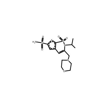 CC(C)N1C(CN2CCOCC2)=Cc2cc(S(N)(=O)=O)sc2S1(=O)=O